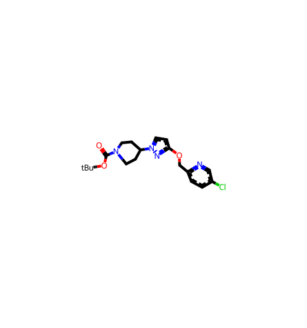 CC(C)(C)OC(=O)N1CCC(n2ccc(OCc3ccc(Cl)cn3)n2)CC1